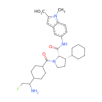 Cn1c(C(=O)O)cc2cc(NC(=O)[C@@H]3[C@H](C4CCCCC4)CCN3C(=O)C3CCC(C(N)CF)CC3)ccc21